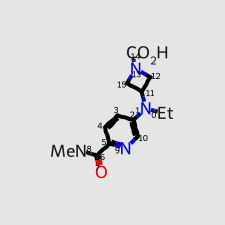 CCN(c1ccc(C(=O)NC)nc1)C1CN(C(=O)O)C1